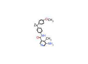 COc1ccc(C2(c3ccc(NC(=O)c4cncc(N)c4C)cc3)CC2)cc1